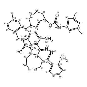 Cc1cc(C)cc(NC(=O)OC2/C=C/C(Cc3cc(C)ccc3CNC(=O)OC3CCCCCC4C(c5ccccc5N)=NN=C(c5ccccc5N)C34)CCCC2)c1